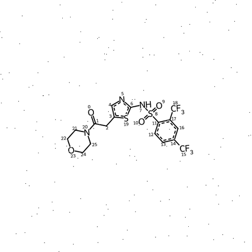 O=C(Cc1cnc(NS(=O)(=O)c2ccc(C(F)(F)F)cc2C(F)(F)F)s1)N1CCOCC1